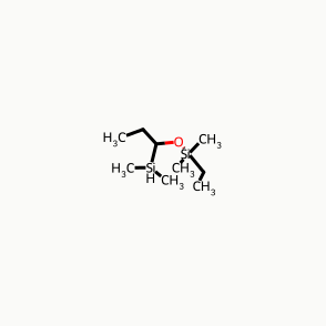 CCC(O[Si](C)(C)CC)[SiH](C)C